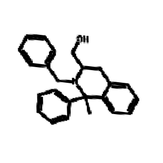 CC1(c2ccccc2)c2ccccc2CC(CO)N1Cc1ccccc1